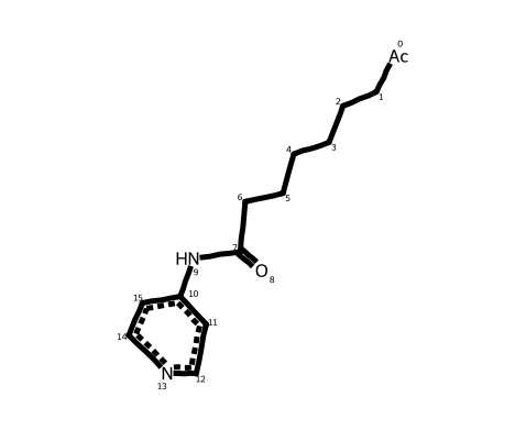 CC(=O)CCCCCCC(=O)Nc1ccncc1